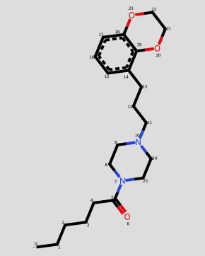 [CH2]CCCCC(=O)N1CCN(CCCc2cccc3c2OCCO3)CC1